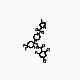 Cn1cc(S(=O)(=O)N2CCN(C3(CNC(=O)c4c(F)cc(Cl)cc4Cl)CCC(F)(F)CC3)CC2)nn1